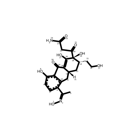 C/C(=N/O)c1ccc(O)c2c1C[C@H]1C[C@@H](CCO)[C@@](O)(C(=O)CC(N)=O)C(O)=C1C2=O